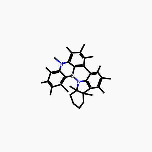 Cc1c(C)c(C)c2c(c1C)B1c3c(c(C)c(C)c(C)c3N2C)-c2c(C)c(C)c(C)c3c2N1C1(C)CCCCC31C